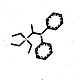 CC[Si](CC)(CC)C(C)P(c1ccccc1)c1ccccc1